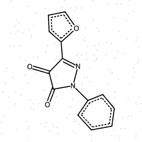 O=C1C(=O)N(c2ccccc2)N=C1c1ccco1